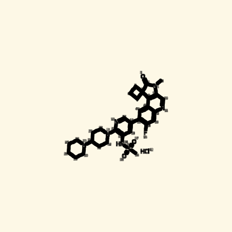 CN1C(=O)C2(CCC2)c2c1cnc1cc(F)c(-c3cnc(N4CCC(N5CCCCC5)CC4)c(NS(C)(=O)=O)c3)cc21.Cl